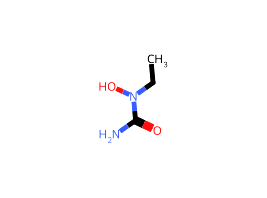 CCN(O)C(N)=O